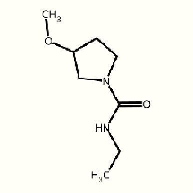 CCNC(=O)N1CCC(OC)C1